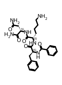 NCCCC[C@H](NC(=O)[C@H](Cc1ccccc1)NC(=O)c1ccccc1)C(=O)N[C@@H](CC(N)=O)C(N)=O